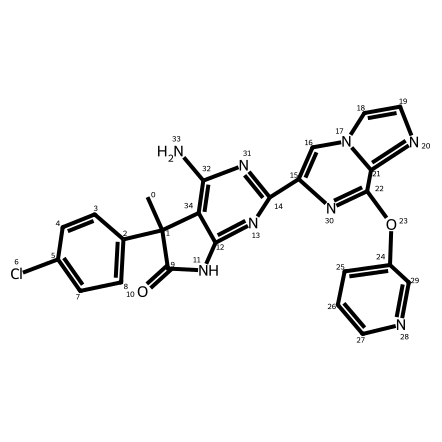 CC1(c2ccc(Cl)cc2)C(=O)Nc2nc(-c3cn4ccnc4c(Oc4cccnc4)n3)nc(N)c21